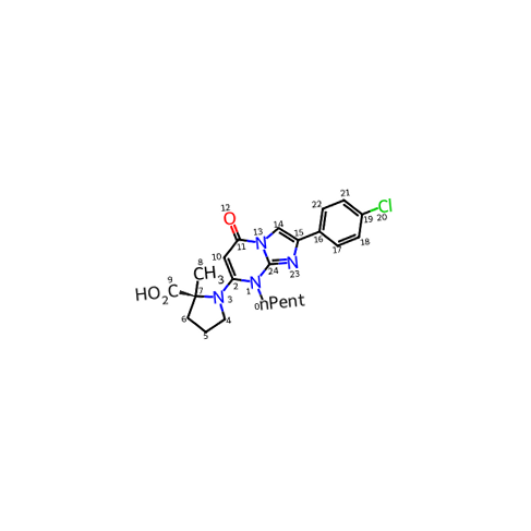 CCCCCn1c(N2CCC[C@@]2(C)C(=O)O)cc(=O)n2cc(-c3ccc(Cl)cc3)nc12